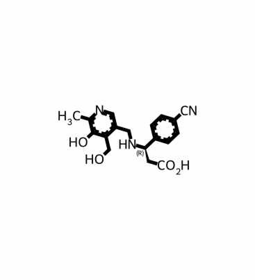 Cc1ncc(CN[C@H](CC(=O)O)c2ccc(C#N)cc2)c(CO)c1O